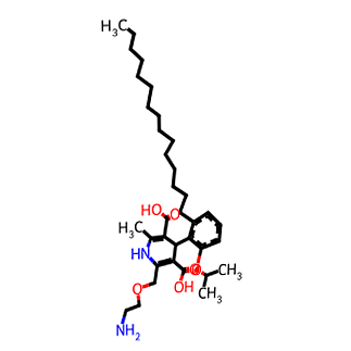 CCCCCCCCCCCCCCCc1cccc(OC(C)C)c1C1C(C(=O)O)=C(C)NC(COCCN)=C1C(=O)O